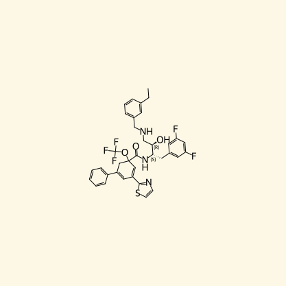 CCc1cccc(CNC[C@@H](O)[C@H](Cc2cc(F)cc(F)c2)NC(=O)C2(OC(F)(F)F)C=C(c3nccs3)C=C(c3ccccc3)C2)c1